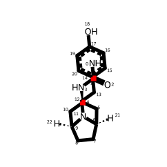 NC(=O)N[C@H]1C[C@H]2CC[C@@H](C1)N2CCc1ccc(O)cc1